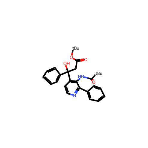 CC(C)(C)OC(=O)CC(O)(c1ccccc1)c1ccnc(-c2ccccc2)c1NC(=O)C(C)(C)C